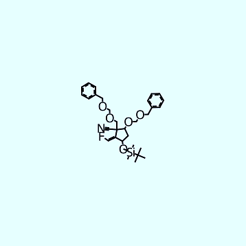 CC(C)(C)[Si](C)(C)OC1CC(OCOCc2ccccc2)C(C#N)(COCOCc2ccccc2)/C1=C\F